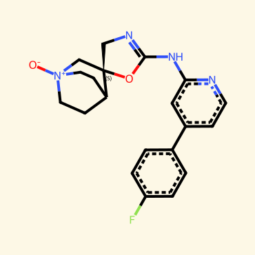 [O-][N+]12CCC(CC1)[C@]1(CN=C(Nc3cc(-c4ccc(F)cc4)ccn3)O1)C2